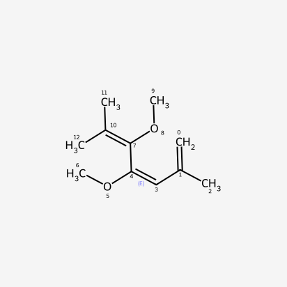 C=C(C)/C=C(/OC)C(OC)=C(C)C